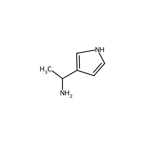 CC(N)c1cc[nH]c1